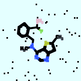 BC(F)c1ccccc1CN(C)c1ncnc2cc(C)sc12